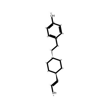 CCCC=C[C@H]1CC[C@H](CCc2ccc(O)cc2)CC1